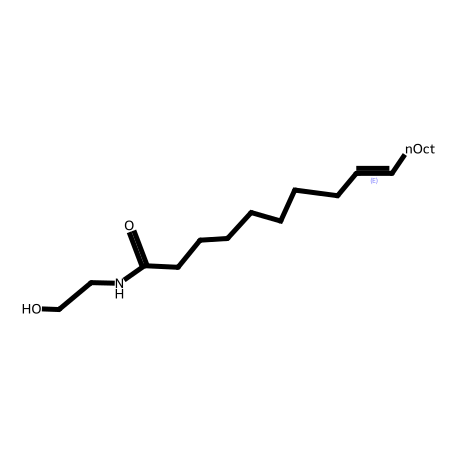 CCCCCCCC/C=C/CCCCCCCC(=O)NCCO